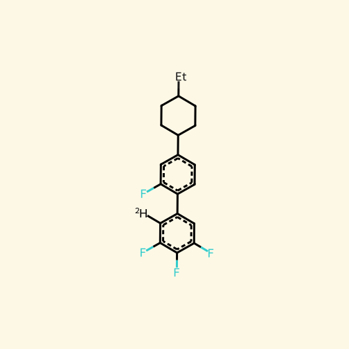 [2H]c1c(-c2ccc(C3CCC(CC)CC3)cc2F)cc(F)c(F)c1F